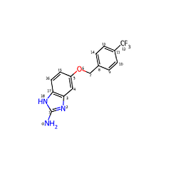 Nc1nc2cc(OCc3ccc(C(F)(F)F)cc3)ccc2[nH]1